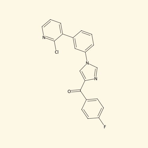 O=C(c1ccc(F)cc1)c1cn(-c2cccc(-c3cccnc3Cl)c2)cn1